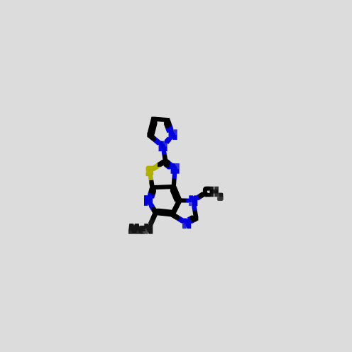 CNc1nc2sc(-n3cccn3)nc2c2c1ncn2C